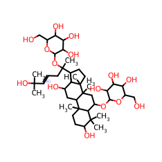 CC(C)(O)/C=C/CC(C)(OC1OC(CO)C(O)C(O)C1O)C1CCC2(C)C1C(O)CC1C3(C)CCC(O)C(C)(C)C3C(OC3OC(CO)C(O)C(O)C3O)CC12C